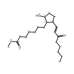 CCCCCC(=O)C=CC1CCC(O)C1CCCCCCC(=O)OC